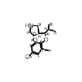 Cc1cc(Cl)cc(Cl)c1O[C@@H](C(C)C)[C@H]1CCNC1